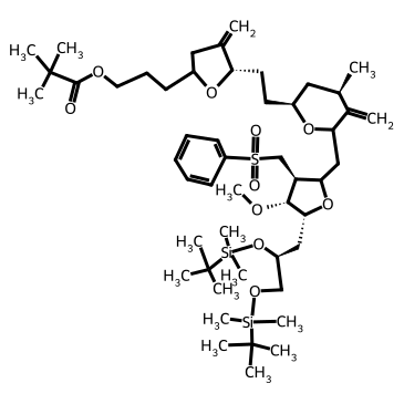 C=C1C(CC2O[C@H](C[C@@H](CO[Si](C)(C)C(C)(C)C)O[Si](C)(C)C(C)(C)C)[C@H](OC)[C@H]2CS(=O)(=O)c2ccccc2)O[C@@H](CC[C@@H]2OC(CCCOC(=O)C(C)(C)C)CC2=C)C[C@H]1C